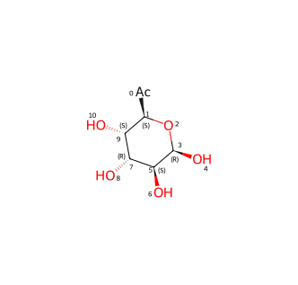 CC(=O)[C@H]1O[C@@H](O)[C@@H](O)[C@H](O)[C@@H]1O